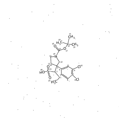 CCC(C1(c2ccc(Cl)c(Cl)c2)CCN(C(=O)OC(C)(C)C)C1)S(=O)(=O)O